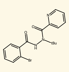 CC(C)(C)N(NC(=O)c1ccccc1Br)C(=O)c1ccccn1